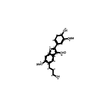 COC1=CC(c2oc3cc(OC)c(CCCO)cc3c2C=O)=CCC1O